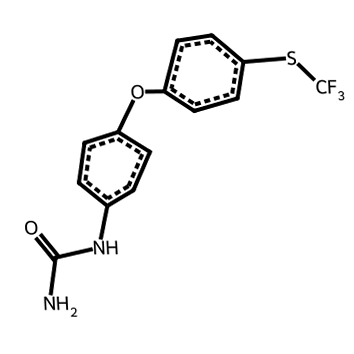 NC(=O)Nc1ccc(Oc2ccc(SC(F)(F)F)cc2)cc1